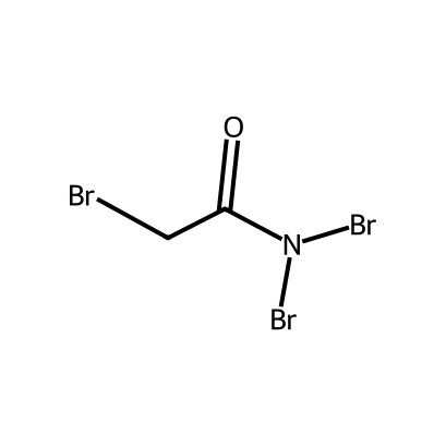 O=C(CBr)N(Br)Br